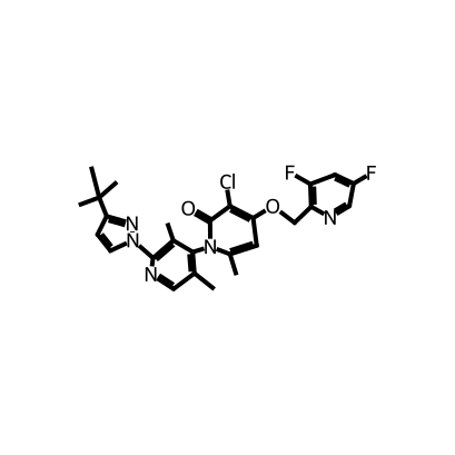 Cc1cnc(-n2ccc(C(C)(C)C)n2)c(C)c1-n1c(C)cc(OCc2ncc(F)cc2F)c(Cl)c1=O